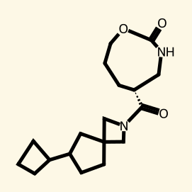 O=C1NC[C@H](C(=O)N2CC3(CCC(C4CCC4)C3)C2)CCCO1